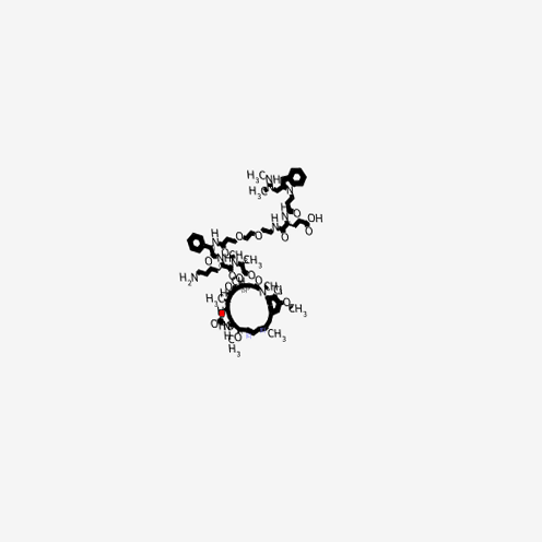 CNN(C)Cc1cc2ccccc2n1CCC(=O)N[C@@H](CCC(=O)O)C(=O)NCCOCCOCCC(=O)N[C@H](C(=O)N[C@@H](CCCCN)C(=O)N(C)[C@@H](C)C(=O)O[C@H]1CC(=O)N(C)c2cc(cc(OC)c2Cl)C/C(C)=C/C=C/[C@@H](OC)[C@@]2(O)C[C@H](OC(=O)N2)[C@@H](C)[C@@H]2O[C@]12C)c1ccccc1